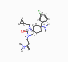 C=C(CCN1C[C@]2(CC[C@](c3cccc(F)c3)(N(C)C)CC2)N(CC2CC2)C1=O)N(C)C